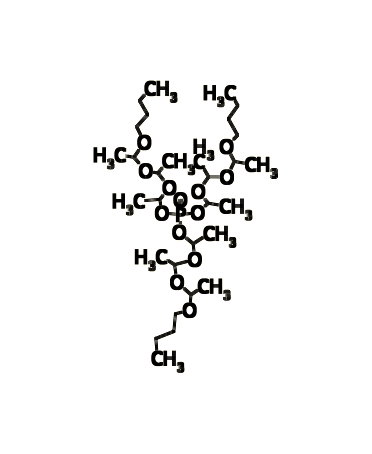 CCCCOC(C)OC(C)OC(C)OP(=O)(OC(C)OC(C)OC(C)OCCCC)OC(C)OC(C)OC(C)OCCCC